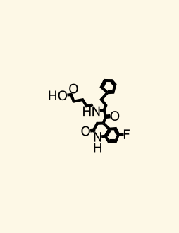 O=C(O)CCCCNC(CCc1ccccc1)C(=O)C1CC(=O)Nc2ccc(F)cc21